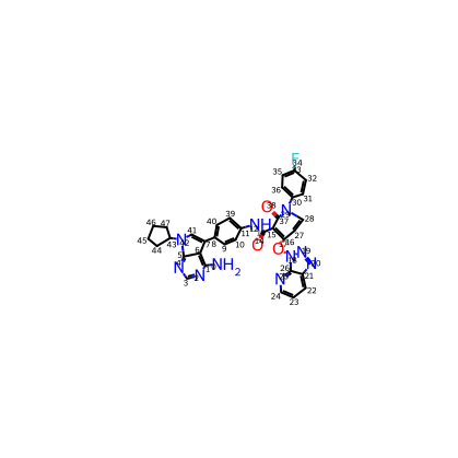 Nc1ncnc2c1c(-c1ccc(NC(=O)c3c(On4nnc5cccnc54)ccn(-c4ccc(F)cc4)c3=O)cc1)cn2C1CCCC1